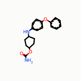 NC(=O)OC1CCC(Nc2ccc(Oc3ccccc3)cc2)CC1